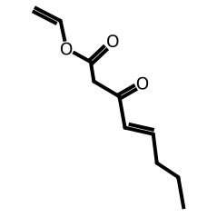 C=COC(=O)CC(=O)C=CCCC